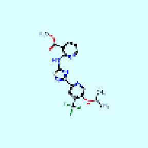 COC(=O)c1cccnc1Nc1nc(-c2cc(C(F)(F)F)c(OC(C)C)cn2)ns1